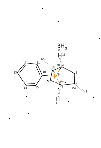 B.C[C@H]1C[C@@H]2[C@@H](C)C[C@H]1P2c1ccccc1